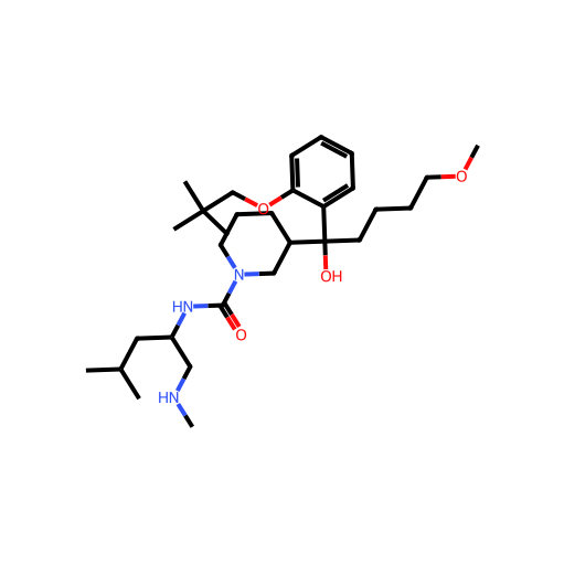 CNCC(CC(C)C)NC(=O)N1CCCC(C(O)(CCCCOC)c2ccccc2OCC(C)(C)C)C1